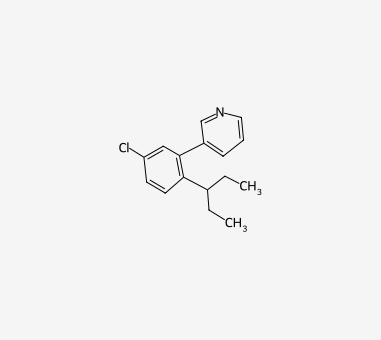 CCC(CC)c1ccc(Cl)cc1-c1cccnc1